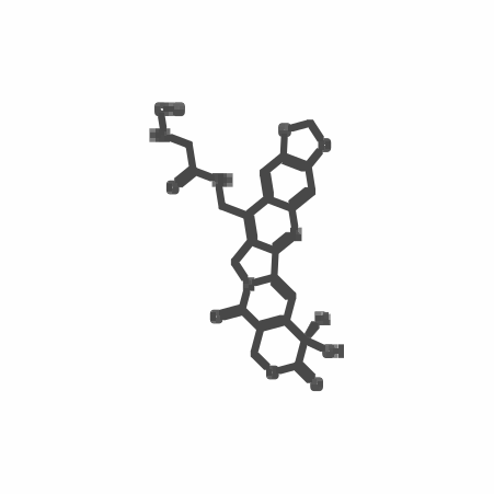 CC[C@@]1(O)C(=O)OCc2c1cc1n(c2=O)Cc2c-1nc1cc3c(cc1c2CNC(=O)CNC=O)OCO3